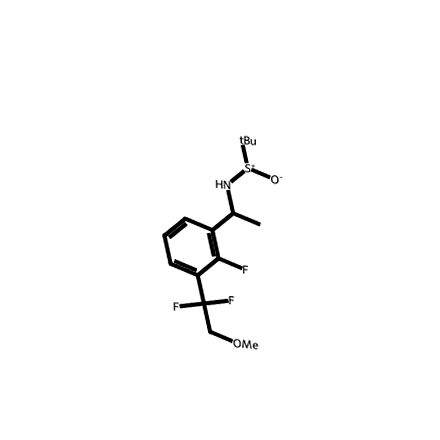 COCC(F)(F)c1cccc(C(C)N[S+]([O-])C(C)(C)C)c1F